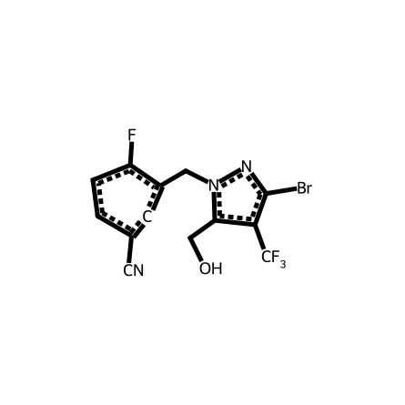 N#Cc1ccc(F)c(Cn2nc(Br)c(C(F)(F)F)c2CO)c1